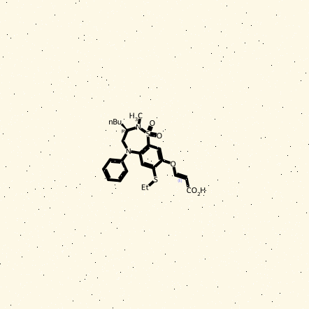 CCCC[C@@H]1CN(c2ccccc2)c2cc(SCC)c(O/C=C/C(=O)O)cc2S(=O)(=O)N1C